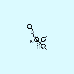 Cc1ccc(C(O)(c2ccc(C)cc2)C23CC[N+](CCOCc4ccccc4)(CC2)CC3)cc1.[Br-]